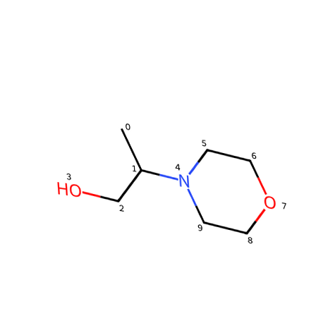 CC(CO)N1CCOCC1